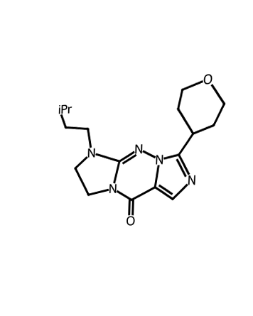 CC(C)CCN1CCn2c1nn1c(C3CCOCC3)ncc1c2=O